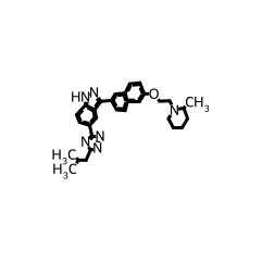 CC(C)CC1N=NC(c2ccc3[nH]nc(-c4ccc5cc(OCCN6CCCCC6C)ccc5c4)c3c2)=N1